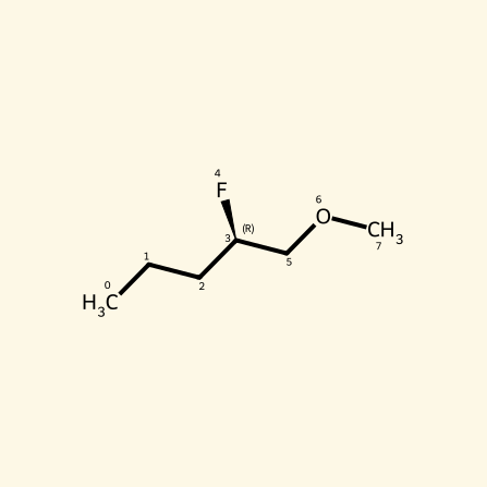 CCC[C@@H](F)COC